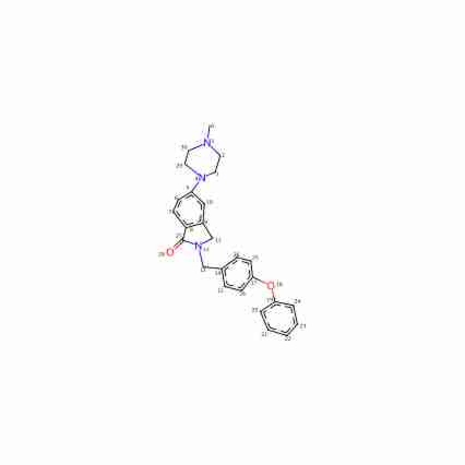 CN1CCN(c2ccc3c(c2)CN(Cc2ccc(Oc4ccccc4)cc2)C3=O)CC1